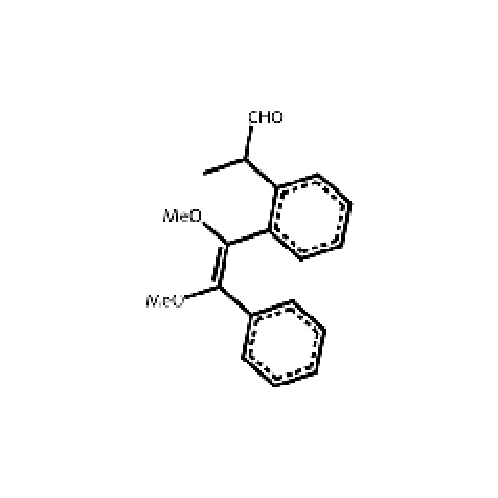 COC(=C(OC)c1ccccc1C(C)C=O)c1ccccc1